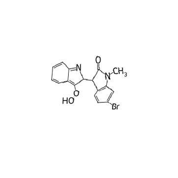 CN1C(=O)C(C2N=c3ccccc3=C2OO)c2ccc(Br)cc21